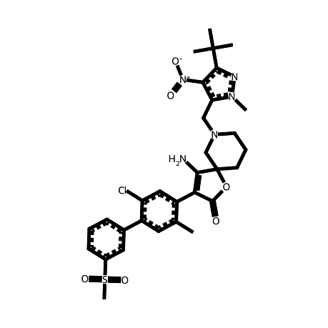 Cc1cc(-c2cccc(S(C)(=O)=O)c2)c(Cl)cc1C1=C(N)C2(CCCN(Cc3c([N+](=O)[O-])c(C(C)(C)C)nn3C)C2)OC1=O